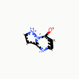 O=c1ccnc2cc[nH]n12